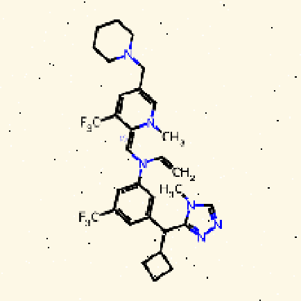 C=CN(/C=C1/C(C(F)(F)F)=CC(CN2CCCCC2)=CN1C)c1cc(C(c2nncn2C)C2CCC2)cc(C(F)(F)F)c1